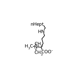 CCCCCCCCNCCCC(C(=O)[O-])[N+](C)(C)C